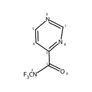 O=C(NC(F)(F)F)c1ccncn1